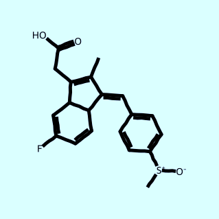 CC1=C(CC(=O)O)C2C=C(F)C=CC2/C1=C\c1ccc([S+](C)[O-])cc1